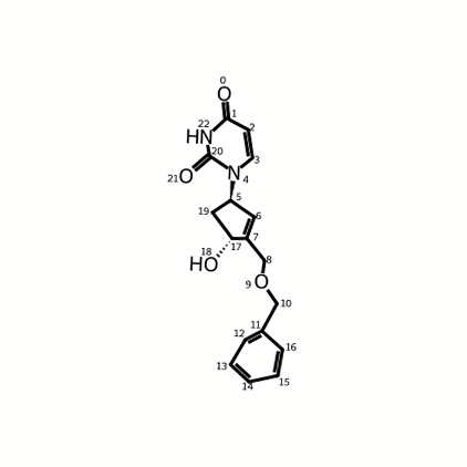 O=c1ccn([C@H]2C=C(COCc3ccccc3)[C@H](O)C2)c(=O)[nH]1